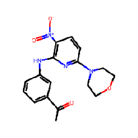 CC(=O)c1cccc(Nc2nc(N3CCOCC3)ccc2[N+](=O)[O-])c1